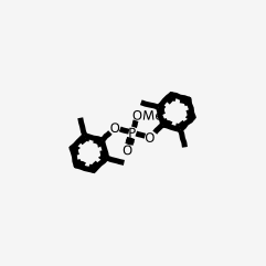 COP(=O)(Oc1c(C)cccc1C)Oc1c(C)cccc1C